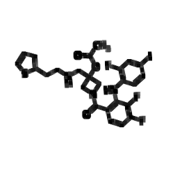 CC(=O)OC1(CNCCc2cccs2)CN(C(=O)c2ccc(F)c(F)c2Nc2ccc(I)cc2F)C1